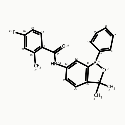 CC1(C)OB(c2ccccc2)c2cc(NC(=O)c3ccc(F)cc3C(F)(F)F)ccc21